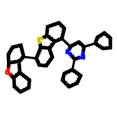 c1ccc(-c2cc(-c3cccc4sc5c(-c6cccc7oc8ccccc8c67)cccc5c34)nc(-c3ccccc3)n2)cc1